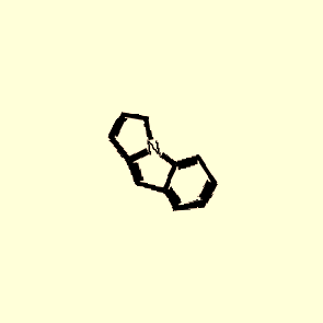 C1=Cc2cc3ccccc3n2C1